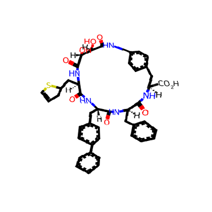 O=C(O)[C@@H]1Cc2ccc(cc2)NC(=O)[C@H](O)[C@@H](O)C(=O)N[C@H](CC2CC=CS2)C(=O)N[C@@H](Cc2ccc(-c3ccccc3)cc2)C(=O)N[C@H](Cc2ccccc2)C(=O)N1